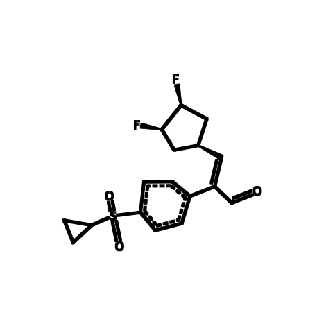 O=C/C(=C/[C@H]1C[C@@H](F)[C@@H](F)C1)c1ccc(S(=O)(=O)C2CC2)cc1